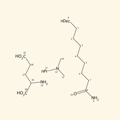 CCCCCCCCCCCCCCCCCC(N)=O.CCCN(C)C.NC(CCC(=O)O)C(=O)O